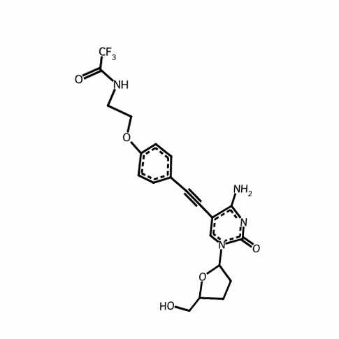 Nc1nc(=O)n(C2CCC(CO)O2)cc1C#Cc1ccc(OCCNC(=O)C(F)(F)F)cc1